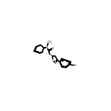 CN(C(=O)C[C@H]1CC(c2ccc(Cl)cc2)=NO1)C1CCCCC1